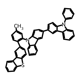 Cc1ccc(-c2ccc3sc4ccccc4c3c2)c(-n2c3ccccc3c3cc(-c4ccc5c(c4)c4ccccc4n5-c4ccccc4)ccc32)c1